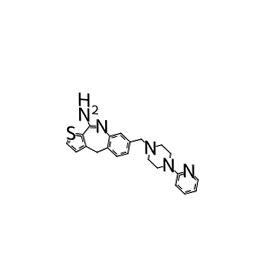 NC1=Nc2cc(CN3CCN(c4ccccn4)CC3)ccc2Cc2ccsc21